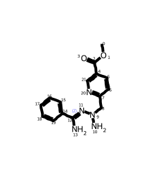 COC(=O)c1ccc(CN(N)/N=C(\N)c2ccccc2)nc1